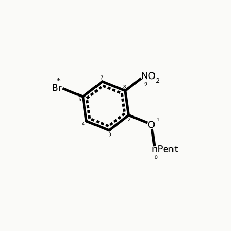 CCCCCOc1ccc(Br)cc1[N+](=O)[O-]